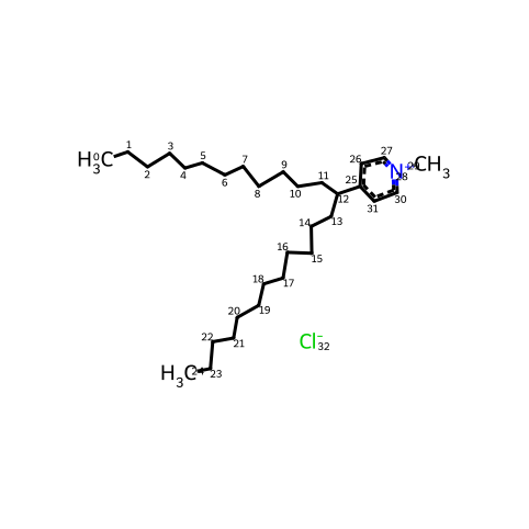 CCCCCCCCCCCCC(CCCCCCCCCCCC)c1cc[n+](C)cc1.[Cl-]